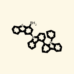 Bc1cc(-n2c3ccccc3c3c(-c4cccc5c6ccccc6n(-c6ccccc6)c45)cccc32)cc2c1sc1ccccc12